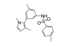 Cc1ccc(S(=O)(=O)Nc2cc(C)cc(-c3c(C)ccn3C)c2)cc1